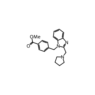 COC(=O)c1ccc(Cn2c(CN3CCCC3)nc3ccccc32)cc1